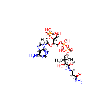 CC(O[C@H](COP(=O)(O)OP(=O)(O)OCC(C)(C)C(O)C(=O)NCCC(N)=O)C(CO)OP(=O)(O)O)n1cnc2c(N)ncnc21